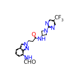 O=CNc1cccc2cn(CCC(=O)NC3CN(c4ncc(C(F)(F)F)cn4)C3)nc12